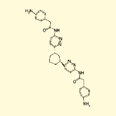 Nc1ccc(CC(=O)Nc2ccc([C@H]3CCC[C@H](c4ccc(NC(=O)Cc5ccc(N)cc5)nn4)C3)nn2)cc1